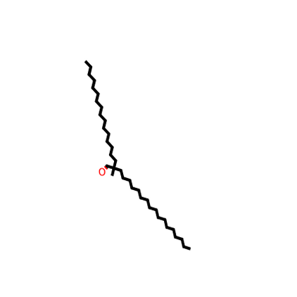 CCCCCCCCCCCCCCCCCC(C)(C=O)CCCCCCCCCCCCCCCC